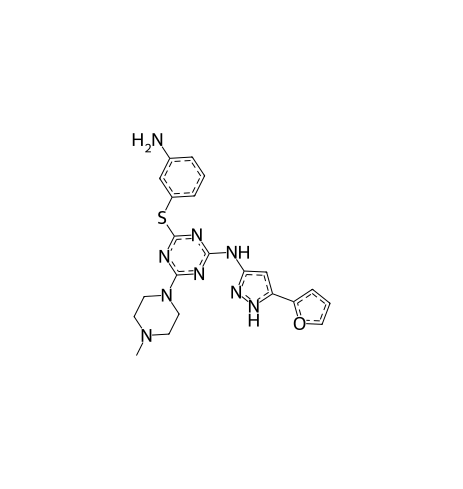 CN1CCN(c2nc(Nc3cc(-c4ccco4)[nH]n3)nc(Sc3cccc(N)c3)n2)CC1